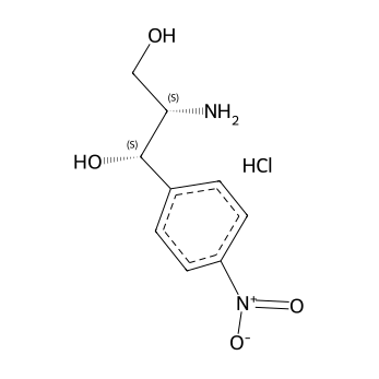 Cl.N[C@@H](CO)[C@@H](O)c1ccc([N+](=O)[O-])cc1